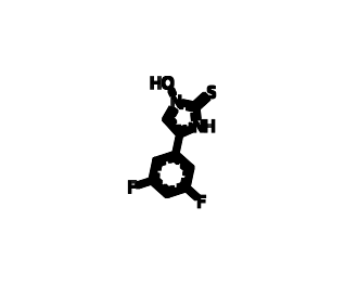 On1cc(-c2cc(F)cc(F)c2)[nH]c1=S